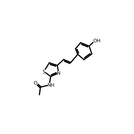 CC(=O)Nc1nc(C=Cc2ccc(O)cc2)cs1